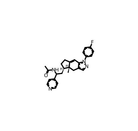 CC(=O)NC(C[C@H]1CCC2=Cc3c(cnn3-c3ccc(F)cc3)C[C@@]21C)c1ccncc1